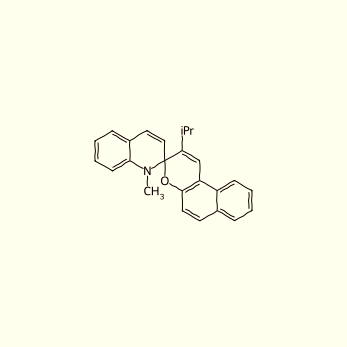 CC(C)C1=Cc2c(ccc3ccccc23)OC12C=Cc1ccccc1N2C